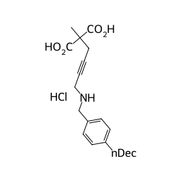 CCCCCCCCCCc1ccc(CNCC#CCC(C)(C(=O)O)C(=O)O)cc1.Cl